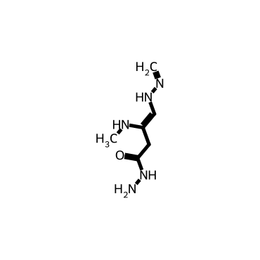 C=NN/C=C(/CC(=O)NN)NC